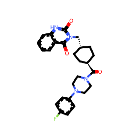 O=c1[nH]c2ccccc2c(=O)n1C[C@H]1CC[C@H](C(=O)N2CCN(c3ccc(F)cc3)CC2)CC1